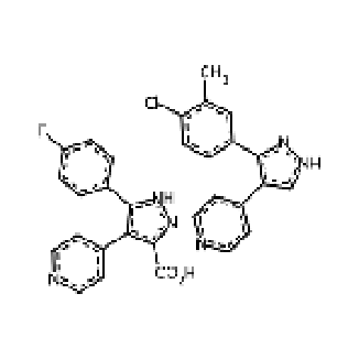 Cc1cc(-c2n[nH]cc2-c2ccncc2)ccc1Cl.O=C(O)c1n[nH]c(-c2ccc(F)cc2)c1-c1ccncc1